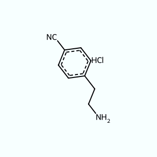 Cl.N#Cc1ccc(CCN)cc1